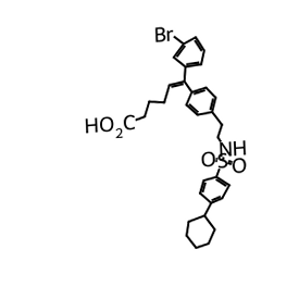 O=C(O)CCC/C=C(\c1ccc(CCNS(=O)(=O)c2ccc(C3CCCCC3)cc2)cc1)c1cccc(Br)c1